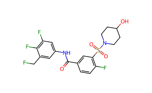 O=C(Nc1cc(F)c(F)c(CF)c1)c1ccc(F)c(S(=O)(=O)N2CCC(O)CC2)c1